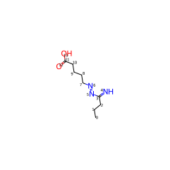 CCCC(=N)N=NCCCCC(=O)O